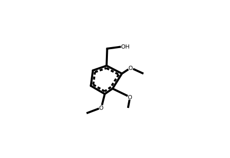 COc1ccc(CO)c(OC)c1OC